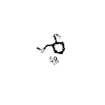 Bc1ccccc1COC.O.O